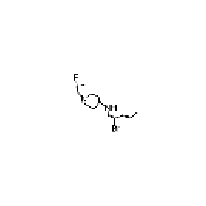 C/C=C/C(Br)=C\NC1CCN(CC(C)(C)F)CC1